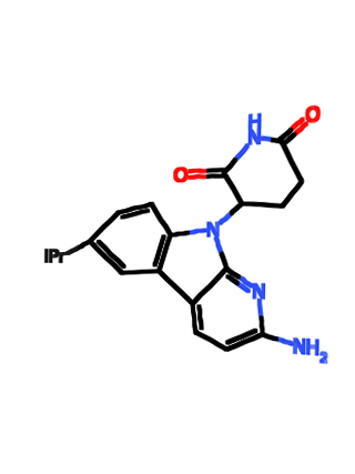 CC(C)c1ccc2c(c1)c1ccc(N)nc1n2C1CCC(=O)NC1=O